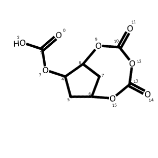 O=C(O)OC1CC2CC1OC(=O)OC(=O)O2